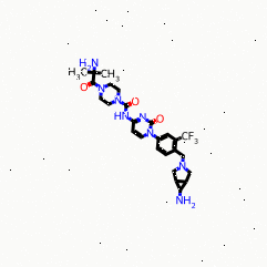 CC(C)(N)C(=O)N1CCN(C(=O)Nc2ccn(-c3ccc(CN4CC5C(N)C5C4)c(C(F)(F)F)c3)c(=O)n2)CC1